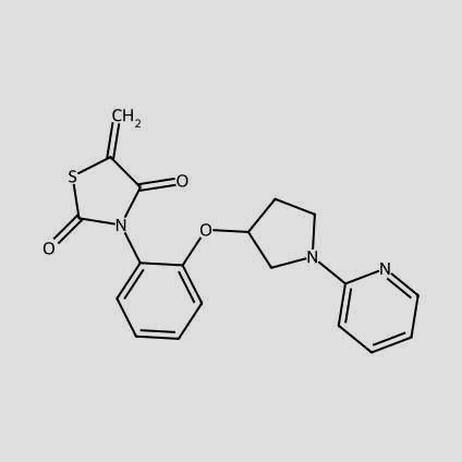 C=C1SC(=O)N(c2ccccc2OC2CCN(c3ccccn3)C2)C1=O